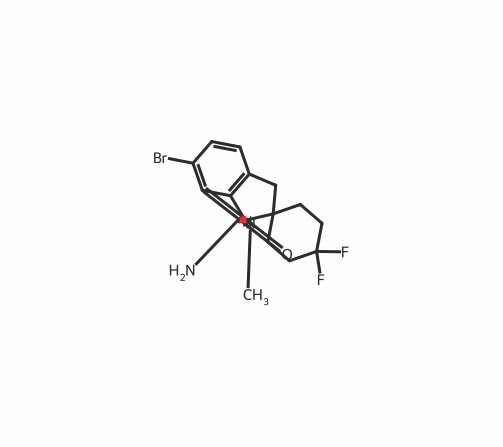 CN1C(=O)C2(N=C1N)c1cc(Br)ccc1CC21CCC(F)(F)CC1